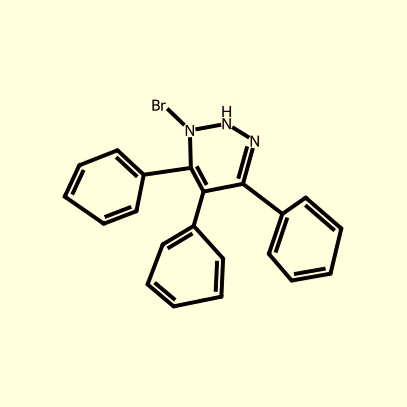 BrN1NN=C(c2ccccc2)C(c2ccccc2)=C1c1ccccc1